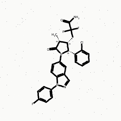 C[C@H]1C(=O)N(c2ccc3c(cnn3-c3ccc(F)cc3)c2)[C@@H](c2ccccc2Cl)[C@H]1CC(F)(F)C(N)=O